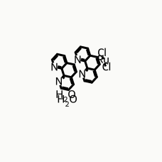 O.O.[Cl][Ru][Cl].c1cnc2c(c1)ccc1cccnc12.c1cnc2c(c1)ccc1cccnc12